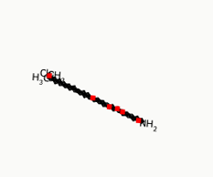 C[Si](C)(Cl)CCCCCCCCCCCCCCCCCCCCCCCCCCCCCCCCCCCCCCN